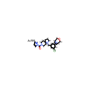 CC(=O)Nc1ccn(C(=O)N2CCC3(CCCN3Cc3cc(Cl)cc(N4C5CCC4COC5)c3)CC2)n1